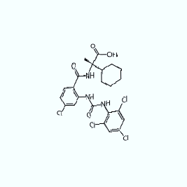 C[C@@](NC(=O)c1ccc(Cl)cc1NC(=O)Nc1c(Cl)cc(Cl)cc1Cl)(C(=O)O)C1CCCCC1